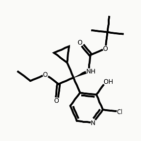 CCOC(=O)[C@@](NC(=O)OC(C)(C)C)(c1ccnc(Cl)c1O)C1CC1